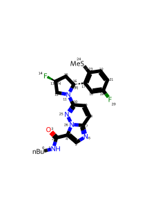 CCCCNC(=O)c1cnc2ccc(N3C[C@@H](F)C[C@@H]3c3cc(F)ccc3SC)nn12